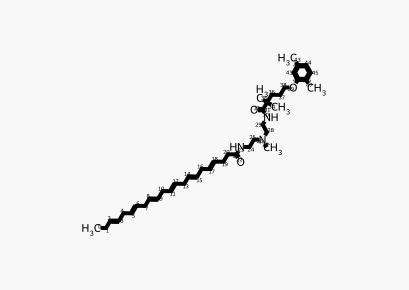 CCC=CCC=CCC=CCC=CCC=CCC=CCCC(=O)NCCN(C)CCNC(=O)C(C)(C)CCCOc1cc(C)ccc1C